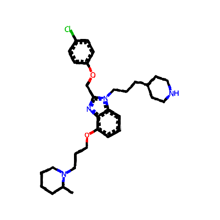 CC1CCCCN1CCCOc1cccc2c1nc(COc1ccc(Cl)cc1)n2CCCC1CCNCC1